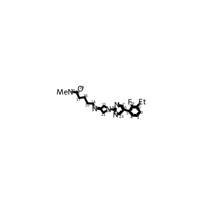 CCc1cccc(-c2cnc(N3CC(=NCCCCC(=O)NC)C3)nc2)c1F